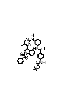 CC(C)(C)OC(=O)Nc1ccc(C(=O)N[C@H]2CCC[C@@H](Nc3ncc(F)c(-c4cn(S(=O)(=O)c5ccccc5)c5ccccc45)n3)C2)cc1